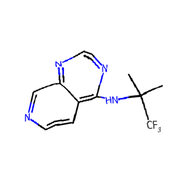 CC(C)(Nc1ncnc2cnccc12)C(F)(F)F